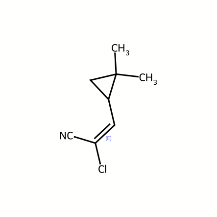 CC1(C)CC1/C=C(/Cl)C#N